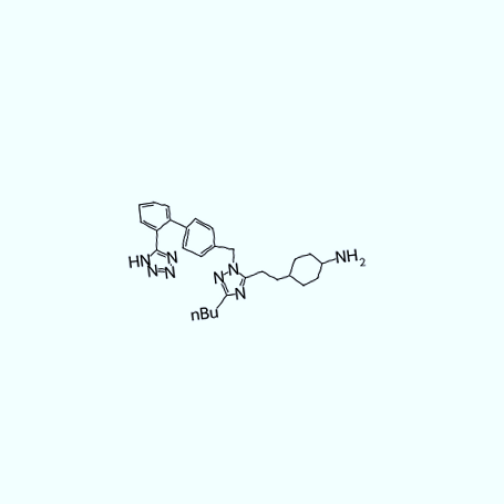 CCCCc1nc(CCC2CCC(N)CC2)n(Cc2ccc(-c3ccccc3-c3nnn[nH]3)cc2)n1